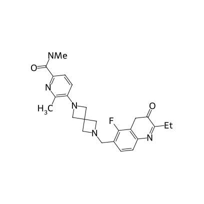 CCC1=Nc2ccc(CN3CC4(C3)CN(c3ccc(C(=O)NC)nc3C)C4)c(F)c2CC1=O